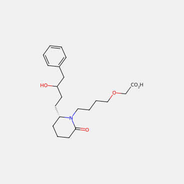 O=C(O)COCCCCN1C(=O)CCC[C@@H]1CCC(O)Cc1ccccc1